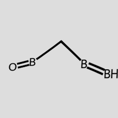 B=BCB=O